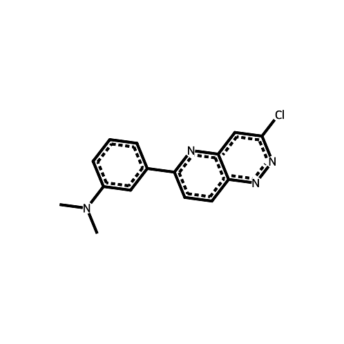 CN(C)c1cccc(-c2ccc3nnc(Cl)cc3n2)c1